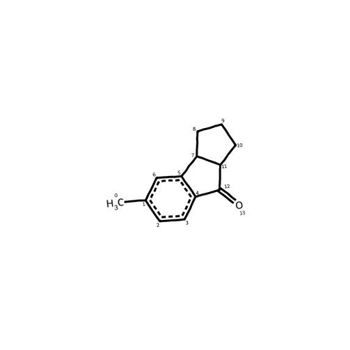 Cc1ccc2c(c1)C1CCCC1C2=O